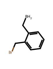 BCc1ccccc1CBr